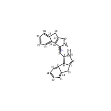 C1=N/C(=C\c2[nH]cc3c2-c2ccccc2C3)C2=C1Cc1ccccc12